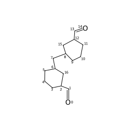 O=CC1CCCC(CC2CCCC(C=O)C2)C1